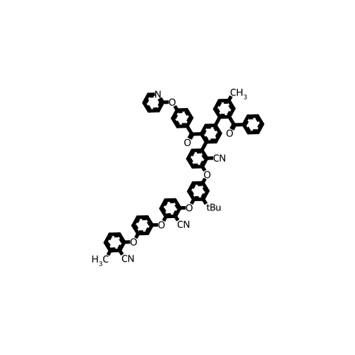 Cc1ccc(-c2ccc(-c3cccc(Oc4ccc(Oc5cccc(Oc6cccc(Oc7cccc(C)c7C#N)c6)c5C#N)c(C(C)(C)C)c4)c3C#N)c(C(=O)c3ccc(Oc4ccccn4)cc3)c2)c(C(=O)c2ccccc2)c1